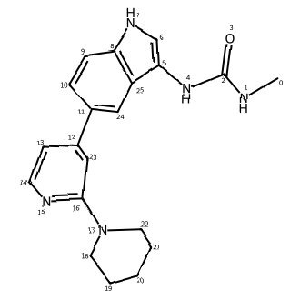 CNC(=O)Nc1c[nH]c2ccc(-c3ccnc(N4CCCCC4)c3)cc12